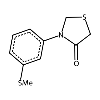 CSc1cccc(N2CSCC2=O)c1